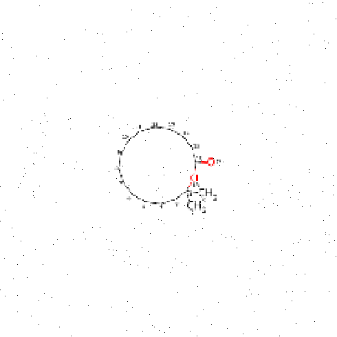 CC1(C)CCCCCCCCCCCCCC(=O)O1